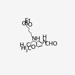 CCS(=O)(=O)CCCCCNC1CC(C)(C)Oc2ccc(NC=O)cc21